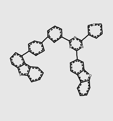 c1ccc(-c2nc(-c3cccc(-c4ccc(-c5cccc6sc7ccccc7c56)cc4)c3)nc(-c3ccc4c(c3)oc3ccccc34)n2)cc1